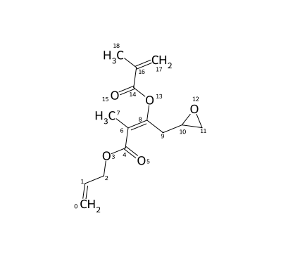 C=CCOC(=O)C(C)=C(CC1CO1)OC(=O)C(=C)C